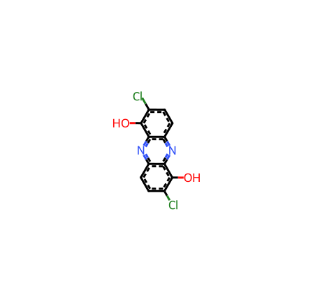 Oc1c(Cl)ccc2nc3c(O)c(Cl)ccc3nc12